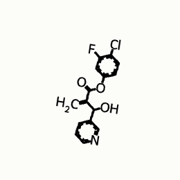 C=C(C(=O)Oc1ccc(Cl)c(F)c1)C(O)c1cccnc1